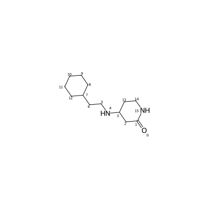 O=C1CC(NCCC2CCCCC2)CCN1